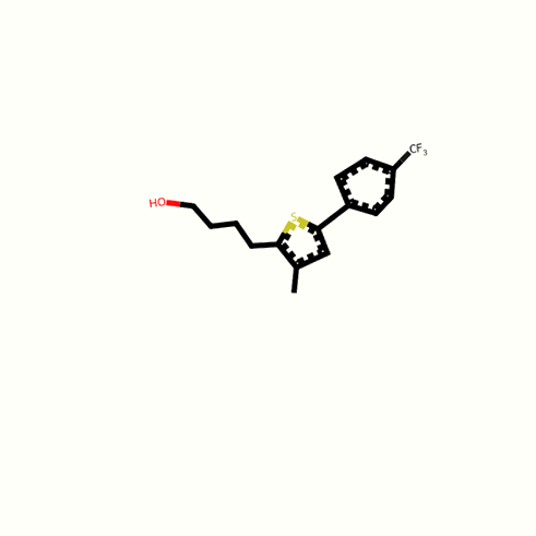 Cc1cc(-c2ccc(C(F)(F)F)cc2)sc1CCCCO